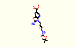 COC(=O)c1cnc2c(n1)sc(=N)n2C/C=C/CNC(=O)OC(C)(C)C